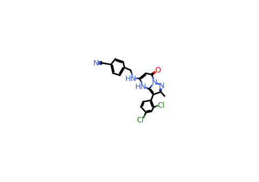 Cc1nn2c(=O)cc(NCc3ccc(C#N)cc3)[nH]c2c1-c1ccc(Cl)cc1Cl